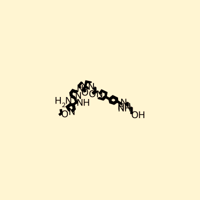 CC(C)Oc1ccc(C(=N)c2nc(N3CC[C@]4(CCN(CC(=O)N5CC=C(c6ccc(C(=N)/N=C\NCCO)cc6)CC5)C4)C3=O)ccc2N)cn1